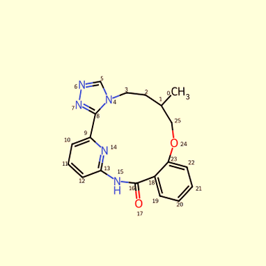 CC1CCn2cnnc2-c2cccc(n2)NC(=O)c2ccccc2OC1